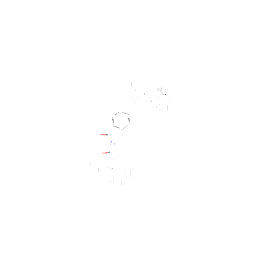 CC(C)(C)OC(=O)N1Cc2cc(B3OC(C)(C)C(C)(C)O3)ccc2C1=O